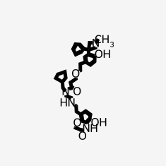 CN1CC(c2ccccc2)(c2cc(CCOCCC(=O)N(CCNCCc3ccc(O)c4c3OCC(=O)N4)CC3CCCC3)ccc2O)C1